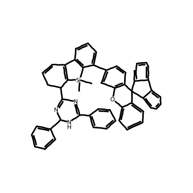 C[Si]1(C)C2=C(C=CCC2C2=NC(c3ccccc3)NC(c3ccccc3)=N2)c2cccc(-c3ccc4c(c3)Oc3ccccc3C43c4ccccc4-c4ccccc43)c21